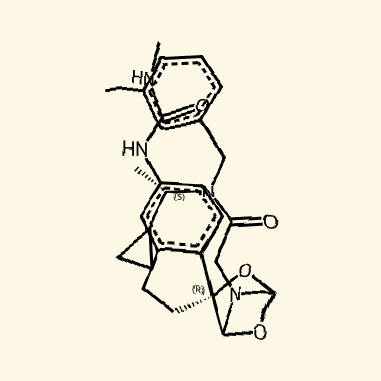 CNC(=O)Nc1ccc2c(c1)CC[C@@]21OC2OC1N2CC(=O)N(Cc1cccc(C)c1)[C@@H](C)C1CC1